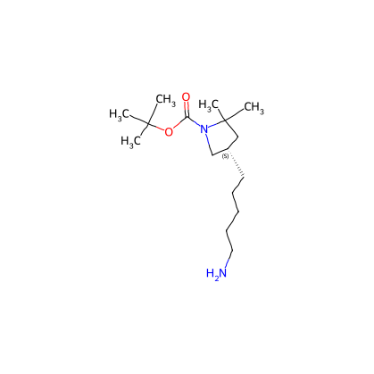 CC(C)(C)OC(=O)N1C[C@@H](CCCCCN)CC1(C)C